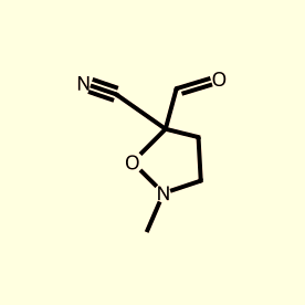 CN1CCC(C#N)(C=O)O1